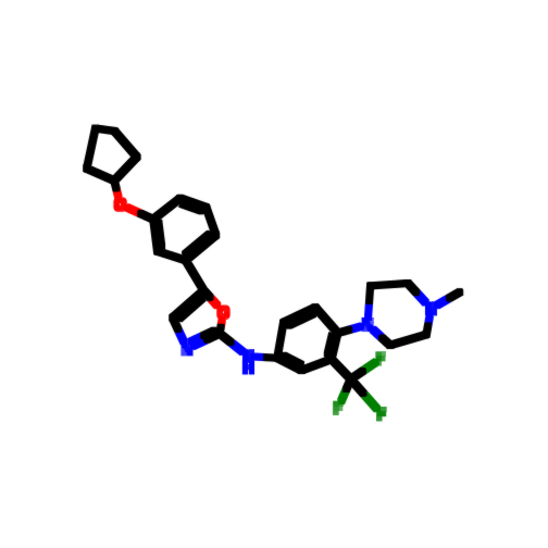 CN1CCN(c2ccc(Nc3ncc(-c4cccc(OC5CCCC5)c4)o3)cc2C(F)(F)F)CC1